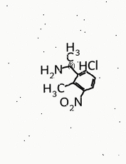 Cc1c([C@@H](C)N)cccc1[N+](=O)[O-].Cl